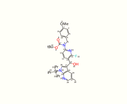 COc1ccc(CN(C(=O)OC(C)(C)C)c2ccc(C(O)c3cn([Si](C(C)C)(C(C)C)C(C)C)c4ncc(C)cc34)c(F)n2)cc1